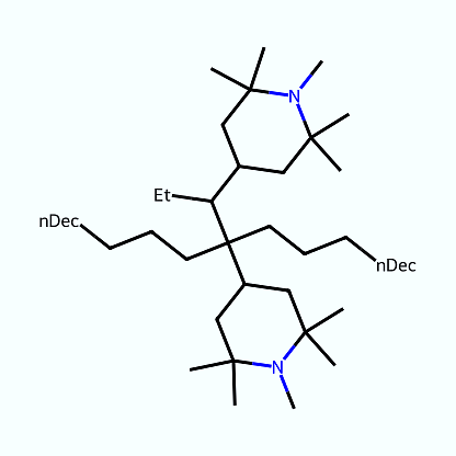 CCCCCCCCCCCCCC(CCCCCCCCCCCCC)(C1CC(C)(C)N(C)C(C)(C)C1)C(CC)C1CC(C)(C)N(C)C(C)(C)C1